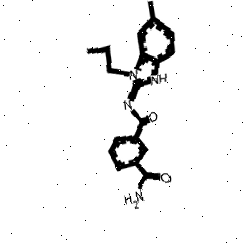 CCCn1/c(=N/C(=O)c2cccc(C(N)=O)c2)[nH]c2ccc(C)cc21